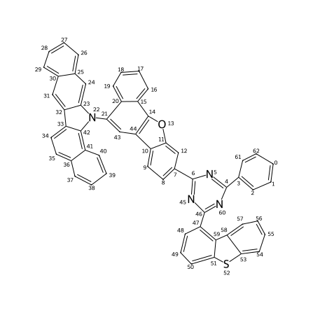 c1ccc(-c2nc(-c3ccc4c(c3)oc3c5ccccc5c(-n5c6cc7ccccc7cc6c6ccc7ccccc7c65)cc43)nc(-c3cccc4sc5ccccc5c34)n2)cc1